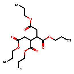 N#CCCOC(=O)CC(C(=O)OCCC#N)C(CC(=O)OCCC#N)C(=O)OCCC#N